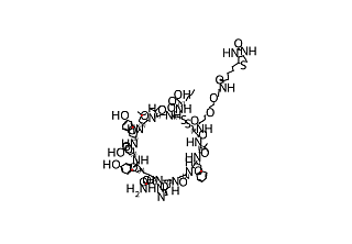 CCCC[C@H](NC(=O)[C@@H]1CSSC[C@H](NC(=O)CCOCCOCCNC(=O)CCCCC2SCC3NC(=O)NC32)C(=O)N[C@@H](C(C)C)C(=O)N[C@@H](Cc2ccccc2)C(=O)N[C@@H](C)C(=O)N[C@@H](Cc2cnc[nH]2)C(=O)N[C@@H](CC(N)=O)C(=O)C[C@@H](Cc2ccc(O)cc2)C(=O)N[C@@H](CC(=O)O)C(=O)N[C@@H](Cc2ccc(O)cc2)C(=O)N[C@@H](CC(C)C)C(=O)N[C@@H](C(C)C)C(=O)N1)C(=O)O